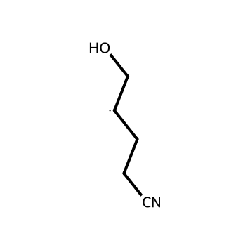 N#CCC[CH]CO